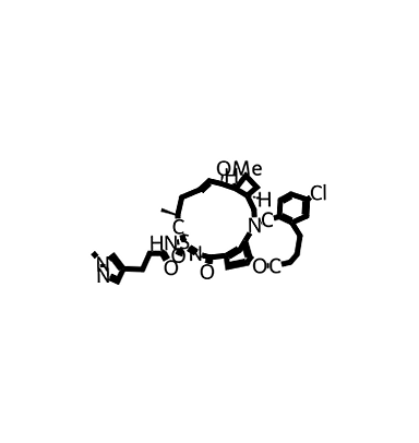 CO[C@H]1/C=C/C[C@H](C)CS(=O)(NC(=O)CCc2cnn(C)c2)=NC(=O)c2ccc3c(c2)N(Cc2ccc(Cl)cc2CCCCO3)C[C@@H]2CC[C@H]21